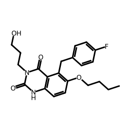 CCCCOc1ccc2[nH]c(=O)n(CCCO)c(=O)c2c1Cc1ccc(F)cc1